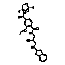 CCOc1cc(C(=O)N2C[C@H]3C[C@@H]2CO3)ccc1C(=O)NCC(O)CNC1Cc2ccccc2C1